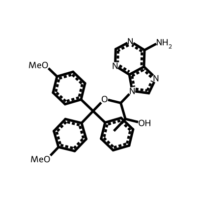 COc1ccc(C(OC(C(C)O)n2cnc3c(N)ncnc32)(c2ccccc2)c2ccc(OC)cc2)cc1